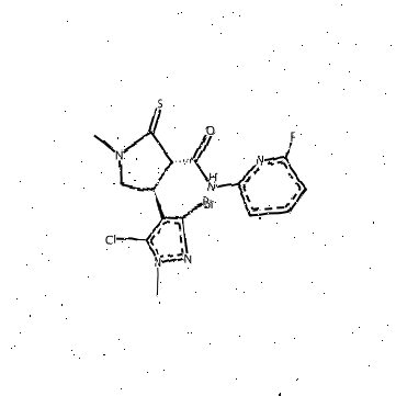 CN1C[C@H](c2c(Br)nn(C)c2Cl)[C@@H](C(=O)Nc2cccc(F)n2)C1=S